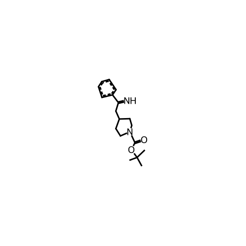 CC(C)(C)OC(=O)N1CCC(CC(=N)c2ccccc2)CC1